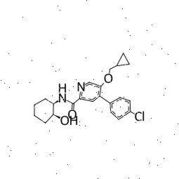 O=C(N[C@@H]1CCCC[C@@H]1O)c1cc(-c2ccc(Cl)cc2)c(OCC2CC2)cn1